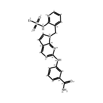 CCS(=O)(=O)Nc1ncccc1Cn1ccc2cnc(Nc3cccc(C(N)=O)c3)nc21